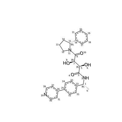 C[C@@H](NC(=O)[C@H](O)[C@@H](O)C(=O)N1CCC[C@@H]1c1ccccc1)c1ccc(-c2ccncc2)cc1